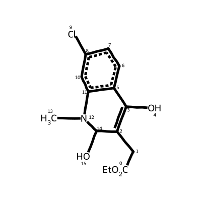 CCOC(=O)CC1=C(O)c2ccc(Cl)cc2N(C)C1O